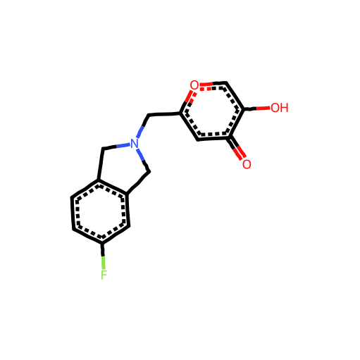 O=c1cc(CN2Cc3ccc(F)cc3C2)occ1O